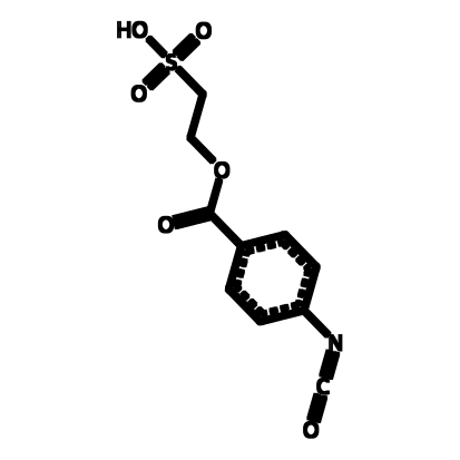 O=C=Nc1ccc(C(=O)OCCS(=O)(=O)O)cc1